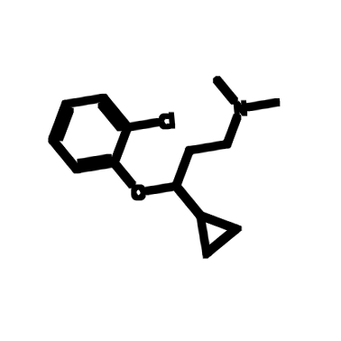 CN(C)CCC(Oc1ccccc1Cl)C1CC1